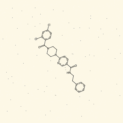 O=C(NCCc1ccccc1)c1ccc(N2CCN(C(=O)c3ccc(Cl)cc3Cl)CC2)nc1